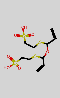 C=CC(OC(C=C)SCCS(=O)(=O)O)SCCS(=O)(=O)O